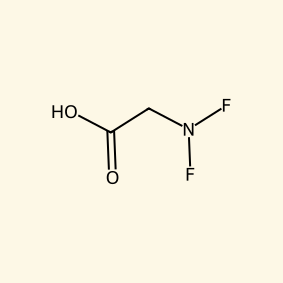 O=C(O)CN(F)F